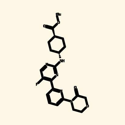 CC(C)(C)OC(=O)[C@H]1CC[C@H](Nc2ncc(F)c(-c3cccc(N4CCOCC4=O)n3)n2)CC1